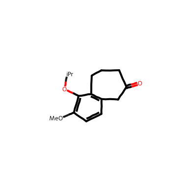 COc1ccc2c(c1OC(C)C)CCCC(=O)C2